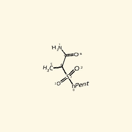 CCCCCS(=O)(=O)C(C)C(N)=O